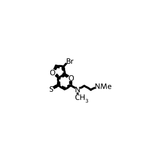 CNCCN(C)c1cc(=S)c2occ(Br)c2o1